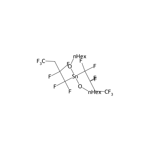 CCCCCC[O][Sn]([O]CCCCCC)([C](F)(F)C(F)(F)CC(F)(F)F)[C](F)(F)C(F)(F)CC(F)(F)F